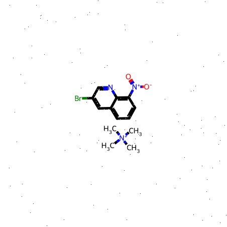 C[N+](C)(C)C.O=[N+]([O-])c1cccc2cc(Br)cnc12